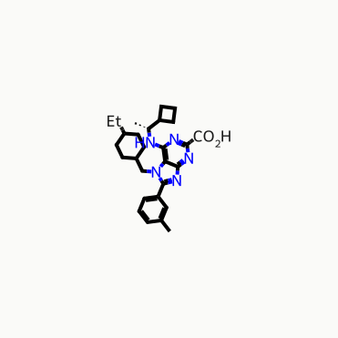 CCC1CCC(Cn2c(-c3cccc(C)c3)nc3nc(C(=O)O)nc(N[C@H](C)C4CCC4)c32)CC1